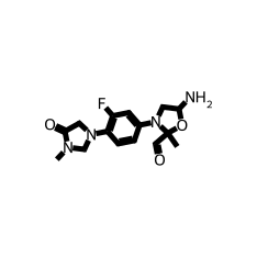 CN1CN(c2ccc(N3CC(N)OC3(C)C=O)cc2F)CC1=O